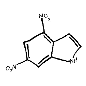 O=[N+]([O-])c1cc([N+](=O)[O-])c2cc[nH]c2c1